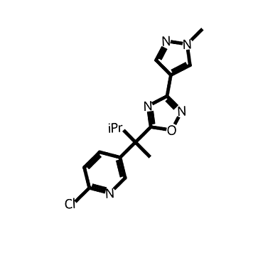 CC(C)C(C)(c1ccc(Cl)nc1)c1nc(-c2cnn(C)c2)no1